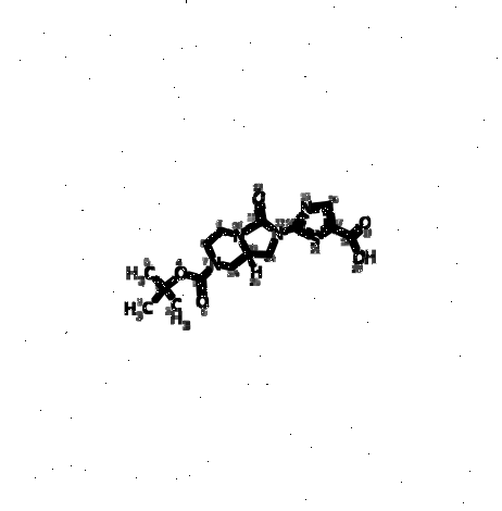 CC(C)(C)OC(=O)N1CCN2C(=O)N(c3ncc(C(=O)O)s3)C[C@@H]2C1